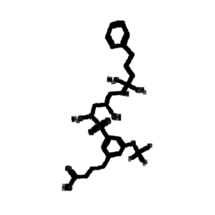 CN(C[C@H](O)CNC(C)(C)CCCc1ccccc1)S(=O)(=O)c1cc(CCCC(=O)O)cc(OC(F)(F)F)c1